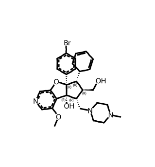 COc1cncc2c1[C@]1(O)[C@@H](CN3CCN(C)CC3)[C@H](CO)[C@@H](C3C=CC=CC3)[C@]1(c1ccc(Br)cc1)O2